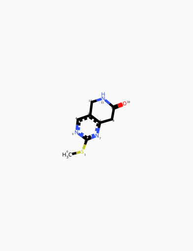 CSc1ncc2c(n1)CC(=O)NC2